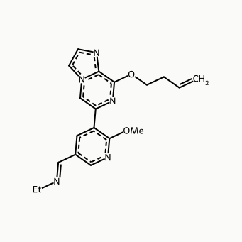 C=CCCOc1nc(-c2cc(/C=N/CC)cnc2OC)cn2ccnc12